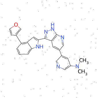 CN(C)c1cncc(-c2cnc3[nH]nc(-c4cc5c(-c6ccoc6)cccc5[nH]4)c3c2)c1